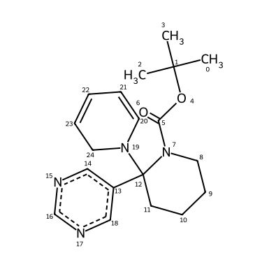 CC(C)(C)OC(=O)N1CCCCC1(c1cncnc1)N1C=CC=CC1